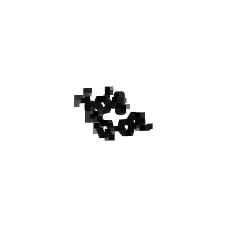 CCn1ncc2cc(-c3cc(Nc4cc([N+](=O)[O-])c(F)cc4OC(F)F)ncn3)ccc21